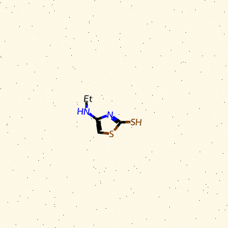 CCNc1csc(S)n1